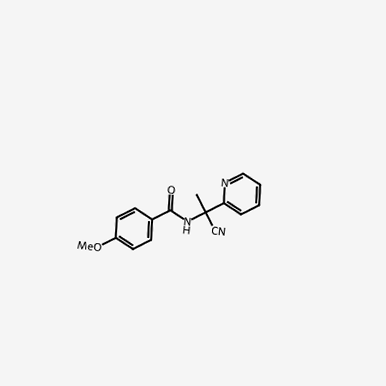 COc1ccc(C(=O)NC(C)(C#N)c2ccccn2)cc1